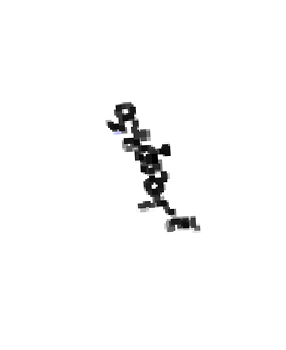 C/C=C(/C)c1ccccc1CCNC(=O)c1cc(C2CC2)n2nc(-c3ccc(N(CCC)CCCC(N)=O)cc3F)cc2n1